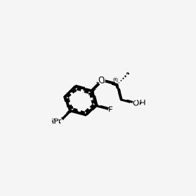 CC(C)c1ccc(O[C@H](C)CO)c(F)c1